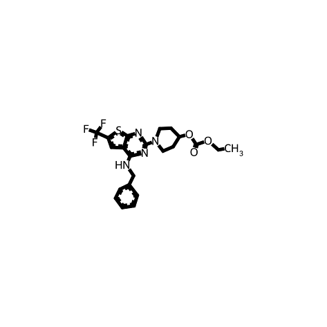 CCOC(=O)OC1CCN(c2nc(NCc3ccccc3)c3cc(C(F)(F)F)sc3n2)CC1